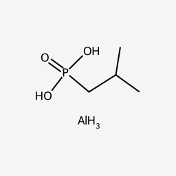 CC(C)CP(=O)(O)O.[AlH3]